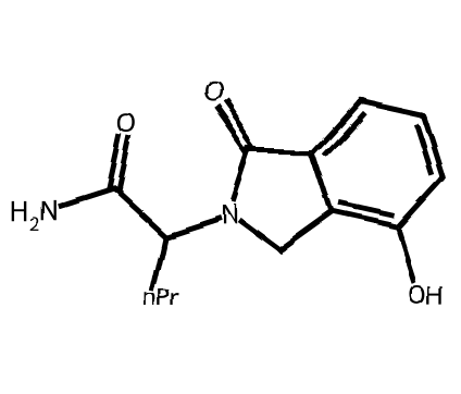 CCCC(C(N)=O)N1Cc2c(O)cccc2C1=O